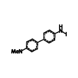 CNc1ccc(-c2ccc(NI)cc2)cc1